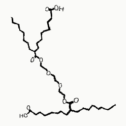 CCCCCCCCC(CCCCCCCC(=O)O)C(=O)OCCOCCOCCOC(=O)C(CCCCCCCC)CCCCCCCC(=O)O